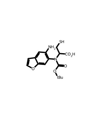 CC(C)(C)OC(=O)N(c1cc2occc2cc1N)C(CS)C(=O)O